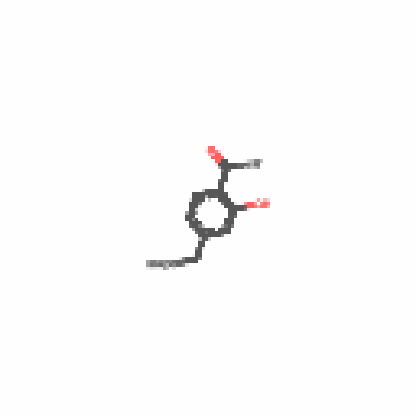 CCCCCCCCc1ccc(C(=O)CCC)c(O)c1